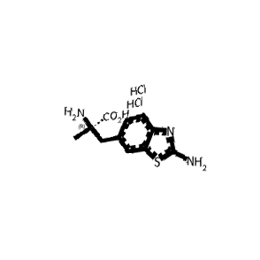 C[C@@](N)(Cc1ccc2nc(N)sc2c1)C(=O)O.Cl.Cl